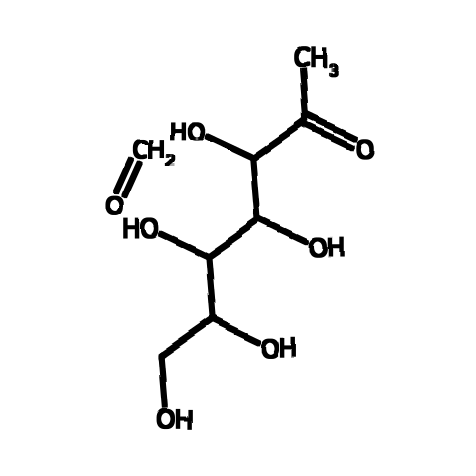 C=O.CC(=O)C(O)C(O)C(O)C(O)CO